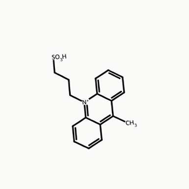 Cc1c2ccccc2[n+](CCCS(=O)(=O)O)c2ccccc12